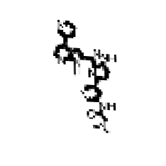 CN(C)CC(=O)Nc1cncc(-c2ccc3[nH]nc(-c4cc5c(-c6cccnc6)ccnc5[nH]4)c3n2)c1